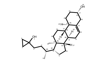 C[C@H](CCC1(O)CC1)[C@H]1CC[C@H]2[C@@H]3CC=C4C[C@@H](O)CC[C@@H]4[C@H]3CC[C@]12C